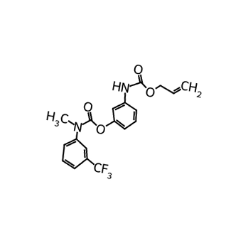 C=CCOC(=O)Nc1cccc(OC(=O)N(C)c2cccc(C(F)(F)F)c2)c1